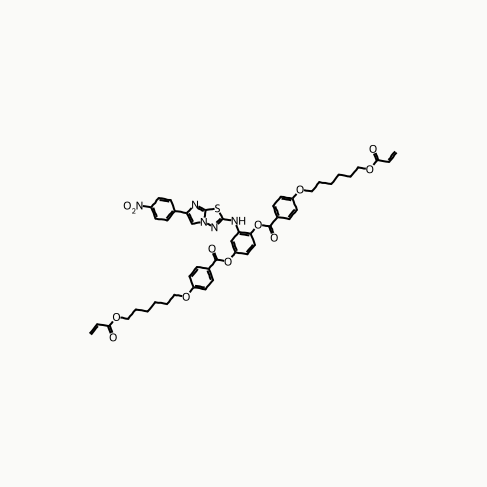 C=CC(=O)OCCCCCCOc1ccc(C(=O)Oc2ccc(OC(=O)c3ccc(OCCCCCCOC(=O)C=C)cc3)c(Nc3nn4cc(-c5ccc([N+](=O)[O-])cc5)nc4s3)c2)cc1